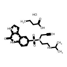 C#CCN(CCNC(C)C)S(=O)(=O)c1ccc2[nH]c(=O)c3[nH]ccc3c2c1.CCCC(=O)O.Cl